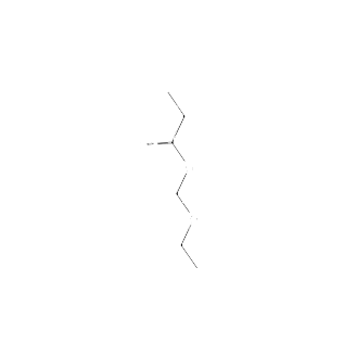 CCOCOC([S])CC